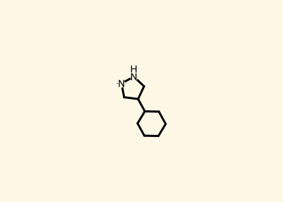 C1CCC(C2C[N]NC2)CC1